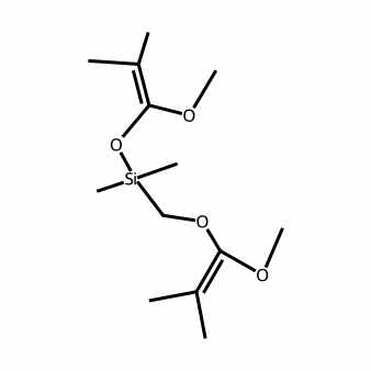 COC(OC[Si](C)(C)OC(OC)=C(C)C)=C(C)C